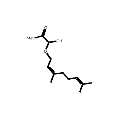 COC(=O)C(O)OCC=C(C)CCC=C(C)C